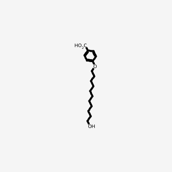 O=C(O)c1ccc(OCCCCCCCCCCCO)cc1